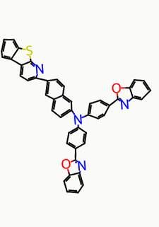 c1ccc2oc(-c3ccc(N(c4ccc(-c5nc6ccccc6o5)cc4)c4ccc5cc(-c6ccc7c(n6)sc6ccccc67)ccc5c4)cc3)nc2c1